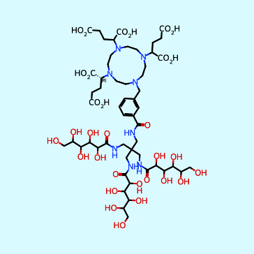 O=C(O)CCC(C(=O)O)N1CCN(Cc2cccc(C(=O)NCC(CNC(=O)C(O)C(O)C(O)C(O)CO)(CNC(=O)C(O)C(O)C(O)C(O)CO)CNC(=O)C(O)C(O)C(O)C(O)CO)c2)CCN([C@H](CCC(=O)O)C(=O)O)CCN(C(CCC(=O)O)C(=O)O)CC1